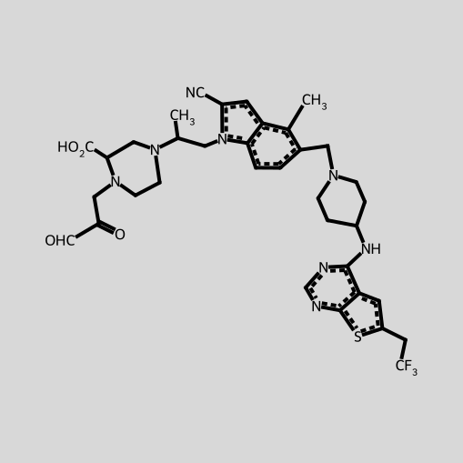 Cc1c(CN2CCC(Nc3ncnc4sc(CC(F)(F)F)cc34)CC2)ccc2c1cc(C#N)n2CC(C)N1CCN(CC(=O)C=O)C(C(=O)O)C1